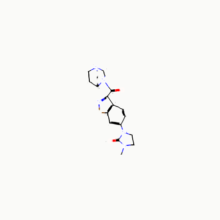 CN1CCN(c2ccc3c(C(=O)N4CCN5CCC4CC5)nsc3c2)C1=O